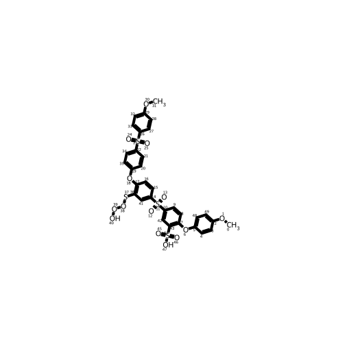 COc1ccc(Oc2ccc(S(=O)(=O)c3ccc(Oc4ccc(S(=O)(=O)c5ccc(OC)cc5)cc4)c(SOOO)c3)cc2S(=O)(=O)O)cc1